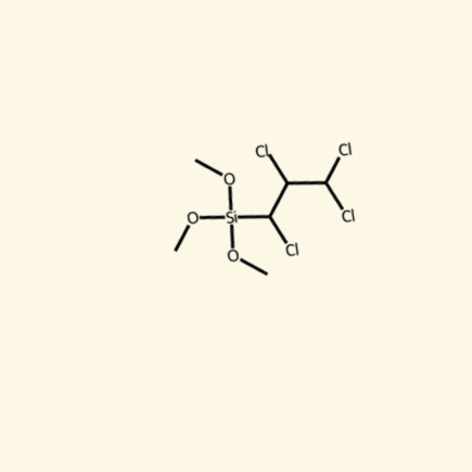 CO[Si](OC)(OC)C(Cl)C(Cl)C(Cl)Cl